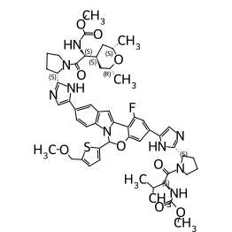 COCc1ccc(C2Oc3cc(-c4cnc([C@@H]5CCCN5C(=O)[C@@H](NC(=O)OC)C(C)C)[nH]4)cc(F)c3-c3cc4cc(-c5cnc([C@@H]6CCCN6C(=O)[C@@H](NC(=O)OC)[C@@H]6C[C@@H](C)O[C@@H](C)C6)[nH]5)ccc4n32)s1